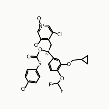 O=C(O[C@@H](Cc1c(Cl)c[n+]([O-])cc1Cl)c1ccc(OC(F)F)c(OCC2CC2)c1)Sc1ccc(Cl)cc1